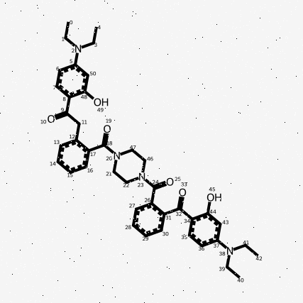 CCN(CC)c1ccc(C(=O)Cc2ccccc2C(=O)N2CCN(C(=O)c3ccccc3C(=O)c3ccc(N(CC)CC)cc3O)CC2)c(O)c1